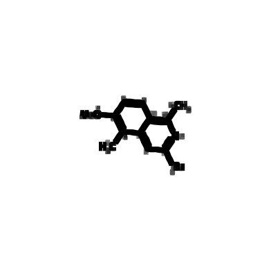 CCC(C)c1cc2c(C)c(OC)ccc2c(C)n1